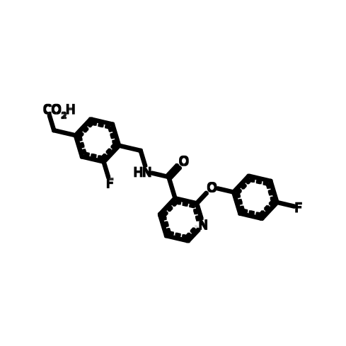 O=C(O)Cc1ccc(CNC(=O)c2cccnc2Oc2ccc(F)cc2)c(F)c1